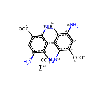 Nc1cc(C(=O)[O-])c(N)cc1C(=O)[O-].Nc1cc(C(=O)[O-])c(N)cc1C(=O)[O-].[Ti+4]